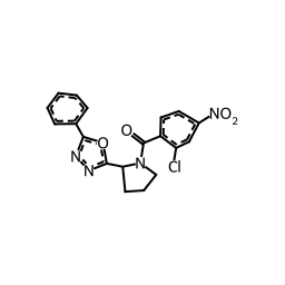 O=C(c1ccc([N+](=O)[O-])cc1Cl)N1CCCC1c1nnc(-c2ccccc2)o1